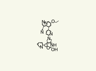 CCOc1cc(-c2ccc(N3C[C@H](NC(=O)O)[C@@H](Oc4ccccn4)C3)nc2)c2c(C#N)cnn2c1